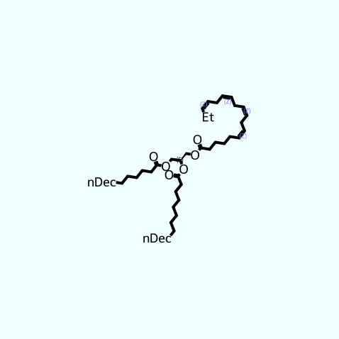 CC/C=C\C/C=C\C/C=C\C/C=C\CCCCC(=O)OC[C@H](COC(=O)CCCCCCCCCCCCCCC)OC(=O)CCCCCCCCCCCCCCCCC